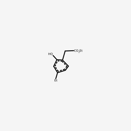 CCOC(=O)Cc1ccc(CC)cc1O